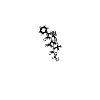 CC1(C)S[C@@H]2[C@H](N3C(=O)C(c4ccccc4)NC3(C)C)C(=O)N2[C@H]1C(=O)OCCl